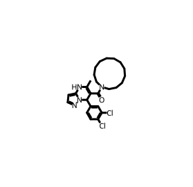 CC1=C(C(=O)N2CCCCCCCCCCCC2)C(c2ccc(Cl)c(Cl)c2)n2nccc2N1